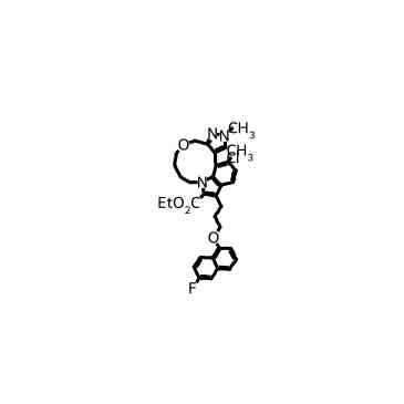 CCOC(=O)c1c(CCCOc2cccc3cc(F)ccc23)c2ccc(Cl)c3c2n1CCCCOCc1nn(C)c(C)c1-3